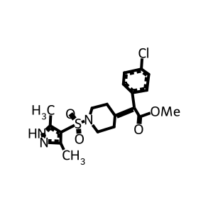 COC(=O)C(=C1CCN(S(=O)(=O)c2c(C)n[nH]c2C)CC1)c1ccc(Cl)cc1